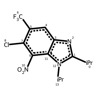 CC(C)c1nc2cc(C(F)(F)F)c(Cl)c([N+](=O)[O-])c2n1C(C)C